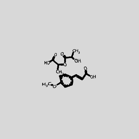 CC(O)C(=O)OC(C)C(=O)O.COc1ccc(C=CC(=O)O)cc1